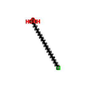 O=P(O)(O)CCCCCCCCCCCCCCCCCCCCCCCCCCCCCCCCCl